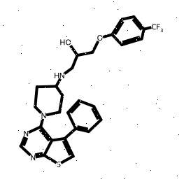 OC(CNC1CCN(c2ncnc3scc(-c4ccccc4)c23)CC1)COc1ccc(C(F)(F)F)cc1